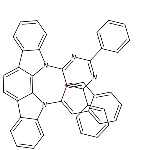 c1ccc(-c2cc(-n3c4ccccc4c4ccc5c6ccccc6n(-c6ccc7ccccc7c6)c5c43)nc(-c3ccccc3)n2)cc1